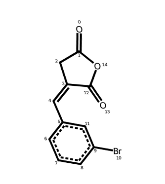 O=C1CC(=Cc2cccc(Br)c2)C(=O)O1